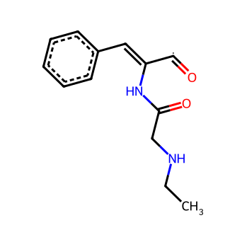 CCNCC(=O)NC([C]=O)=Cc1ccccc1